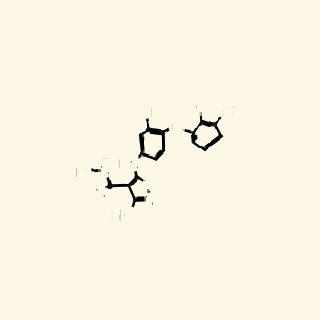 CC(C)NC(=N)c1c(O)nsc1Nc1ccc(Oc2cccc(C(F)(F)F)c2Cl)c(Cl)c1